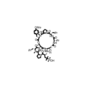 CC[C@H](C)[C@H]1NC(=O)[C@@H](NC(=O)[C@@H](CC(C)C)N(C)C(=O)C2CCCN2C(=O)[C@@H](C)CC(C)(C)[Si](C)(C)O)[C@@H](C)OC(=O)[C@H](Cc2ccc(OC)cc2)N(C)C(=O)[C@@H]2CCCN2C(=O)[C@H](CC(C)C)NC(=O)[C@H](C(C)C)NC(=O)C[C@@H]1O